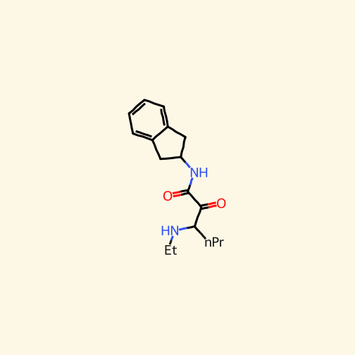 CCCC(NCC)C(=O)C(=O)NC1Cc2ccccc2C1